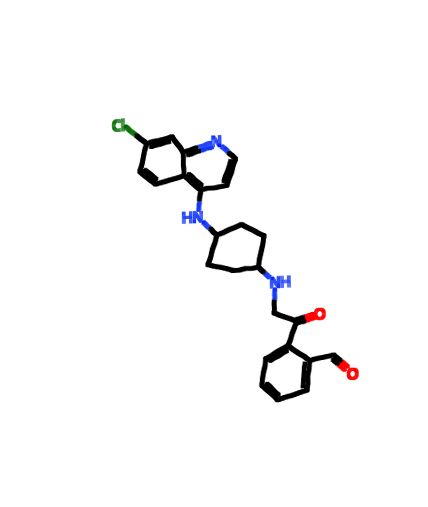 O=Cc1ccccc1C(=O)CNC1CCC(Nc2ccnc3cc(Cl)ccc23)CC1